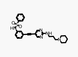 O=S(=O)(Nc1cccc(C#Cc2cnc(NCCCN3CCCCC3)nc2)c1)c1ccccc1